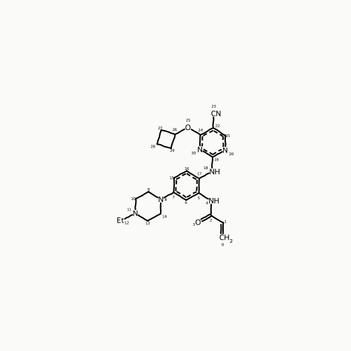 C=CC(=O)Nc1cc(N2CCN(CC)CC2)ccc1Nc1ncc(C#N)c(OC2CCC2)n1